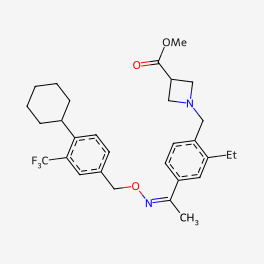 CCc1cc(/C(C)=N\OCc2ccc(C3CCCCC3)c(C(F)(F)F)c2)ccc1CN1CC(C(=O)OC)C1